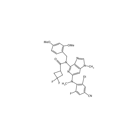 CCc1cc(C#N)cc(F)c1N(C)c1cc2c(ncn2C)c(N(Cc2ccc(OC)cc2OC)C(=O)C2CC(F)(F)C2)n1